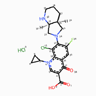 Cl.O=C(O)c1cn(C2CC2)c2c(Cl)c(N3C[C@@H]4CCCN[C@@H]4C3)c(F)cc2c1=O